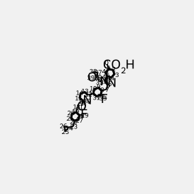 O=C(O)c1ccc2nc(Cc3ccc(-c4cccc(OCc5ccc(CC6CC6)cc5F)n4)cc3F)n(C[C@@H]3CCO3)c2c1